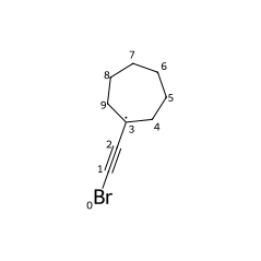 BrC#C[C]1CCCCCC1